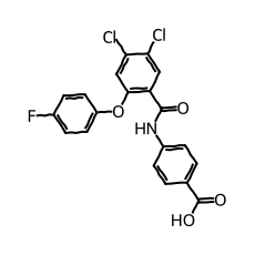 O=C(O)c1ccc(NC(=O)c2cc(Cl)c(Cl)cc2Oc2ccc(F)cc2)cc1